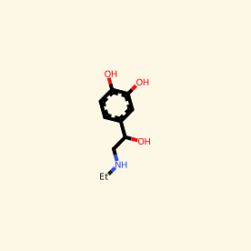 CCNCC(O)c1ccc(O)c(O)c1